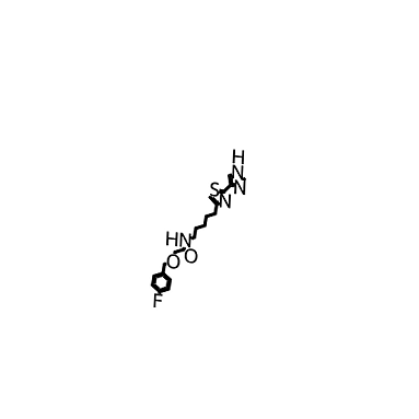 O=C(COCc1ccc(F)cc1)NCCCCCc1csc(-c2c[nH]cn2)n1